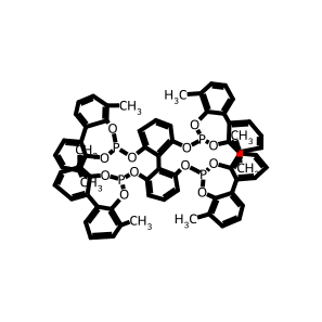 Cc1cccc2c1op(Oc1cccc(Op3oc4c(C)cccc4c4cccc(C)c4o3)c1-c1c(Op3oc4c(C)cccc4c4cccc(C)c4o3)cccc1Op1oc3c(C)cccc3c3cccc(C)c3o1)oc1c(C)cccc12